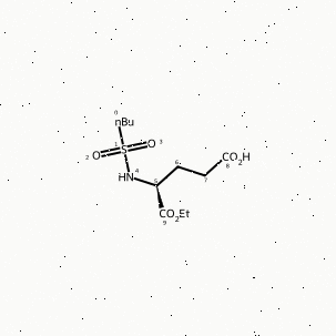 CCCCS(=O)(=O)N[C@@H](CCC(=O)O)C(=O)OCC